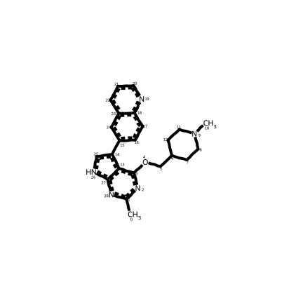 Cc1nc(OCC2CCN(C)CC2)c2c(-c3ccc4ncccc4c3)c[nH]c2n1